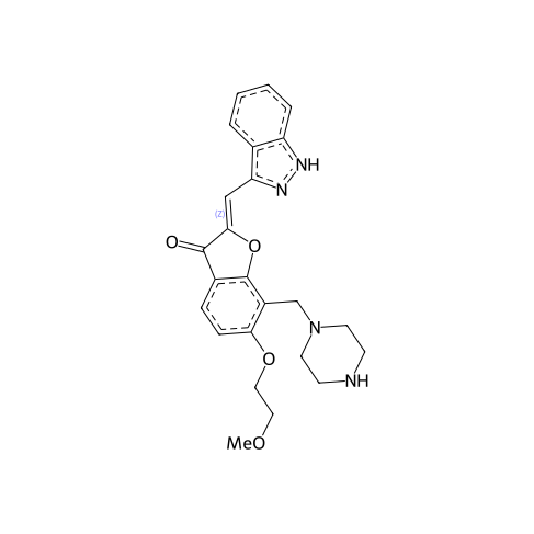 COCCOc1ccc2c(c1CN1CCNCC1)O/C(=C\c1n[nH]c3ccccc13)C2=O